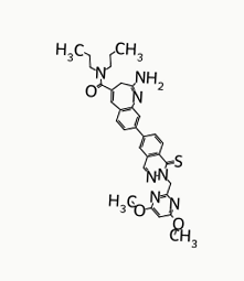 CCCN(CCC)C(=O)C1=Cc2ccc(-c3ccc4c(=S)n(Cc5nc(OC)cc(OC)n5)ncc4c3)cc2N=C(N)C1